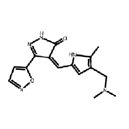 Cc1[nH]c(C=C2C(=O)NN=C2c2ccno2)cc1CN(C)C